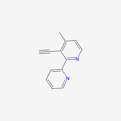 C#Cc1c(C)ccnc1-c1ccccn1